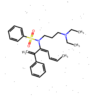 C=C(/C(=C\C=C/C)N(CCCN(CC)CC)S(=O)(=O)c1ccccc1)c1ccccc1